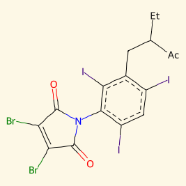 CCC(Cc1c(I)cc(I)c(N2C(=O)C(Br)=C(Br)C2=O)c1I)C(C)=O